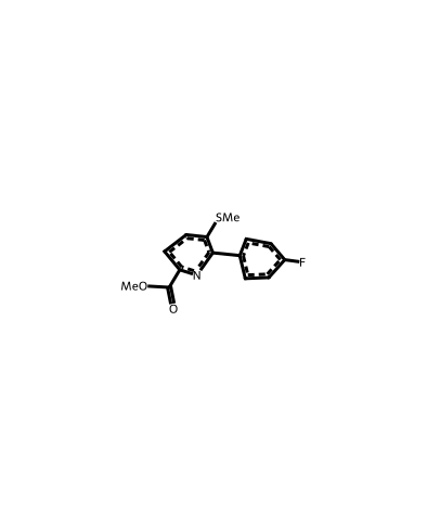 COC(=O)c1ccc(SC)c(-c2ccc(F)cc2)n1